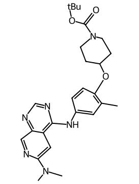 Cc1cc(Nc2ncnc3cnc(N(C)C)cc23)ccc1OC1CCN(C(=O)OC(C)(C)C)CC1